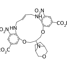 CCOC(=O)c1cc2c(c([N+](=O)[O-])c1)NC/C=C/CNc1c(cc(C(=O)OCC)cc1[N+](=O)[O-])OCC(N1C3CCC1COC3)CO2